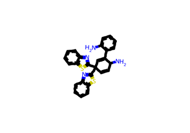 Nc1ccccc1C1=CC(c2nc3ccccc3s2)(c2nc3ccccc3s2)C=CC1N